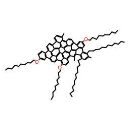 CCCCCCCCCCCCc1c(C)cc(CCCCCCCCCCCC)c2c1c1cc(OCCCCCCCCCC)cc3c4ccc5c6c(C)ccc7c8ccc9c%10ccc(OCCCCCCCCCC)cc%10c%10ccc%11c%12c(OCCCCCCCCCC)ccc%13c%14c(C)c2c(c31)c1c4c5c2c(c76)c3c8c9c%10c%11c3c(c%13%12)c2c%141